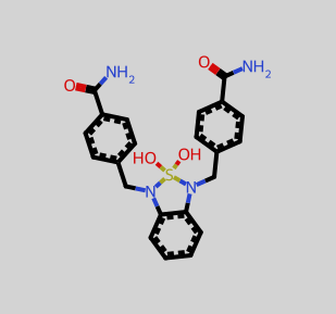 NC(=O)c1ccc(CN2c3ccccc3N(Cc3ccc(C(N)=O)cc3)S2(O)O)cc1